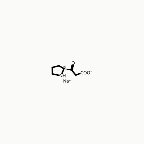 O=C([O-])CC(=O)[C@@H]1CCCN1.[Na+]